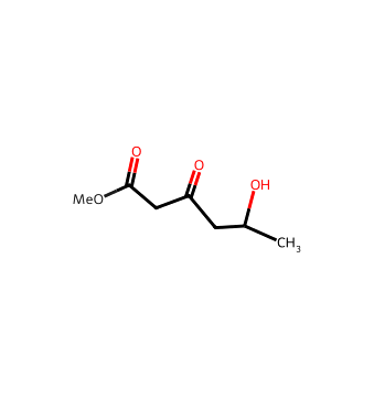 COC(=O)CC(=O)CC(C)O